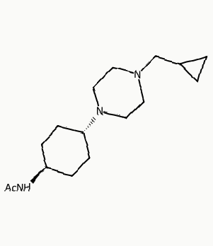 CC(=O)N[C@H]1CC[C@H](N2CCN(CC3CC3)CC2)CC1